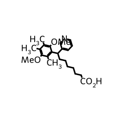 COc1c(C)c(C)c(OC)c(C(CCCCCCC(=O)O)c2cccnc2)c1C